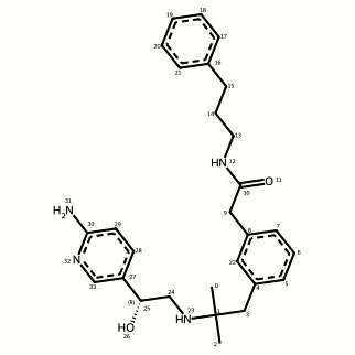 CC(C)(Cc1cccc(CC(=O)NCCCc2ccccc2)c1)NC[C@H](O)c1ccc(N)nc1